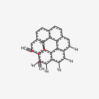 [2H]c1c(C#C)c([2H])c2c(c1[2H])c([2H])c([2H])c1c([2H])cc3ccc4ccc5ccc(C#C)cc5c4c3c12